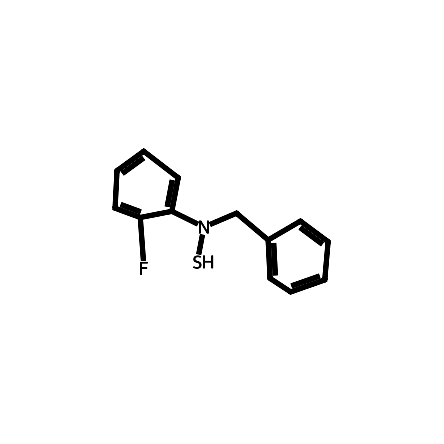 Fc1ccccc1N(S)Cc1ccccc1